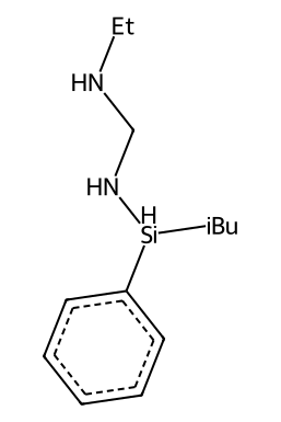 CCNCN[SiH](c1ccccc1)C(C)CC